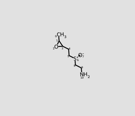 CC1OC1CC[S+]([O-])CCN